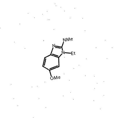 CCn1c(NC)nc2ccc(OC)cc21